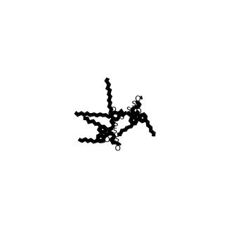 CCCCCCCCCCCCC1(CCCCCCCCCCCC)C(=O)c2cc(-c3cc4c(s3)-c3sc(OC)cc3OC4(c3ccc(CCCCCC)cc3)c3ccc(CCCCCC)cc3)sc2-c2sc(-c3cc4c(s3)-c3sc(C=O)cc3OC4(c3ccc(CCCCCC)cc3)c3ccc(CCCCCC)cc3)cc21